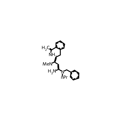 C=C(N)c1ccccc1C/C=C(\C=C(/N)N(CCC)Cc1ccccc1)NC